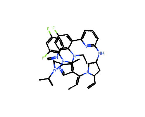 C=CC1CC(Nc2cccc(-c3cc(F)cc(N=C)c3N(CC)CC3CN3C(C)C)n2)CN1/C(=C/C)c1cnn(-c2ccc(F)cc2F)c1C